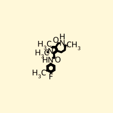 Cc1cc(NC(=O)c2c3c(c(C)n2C)C(=O)N[C@@H](C)CC3)ccc1F